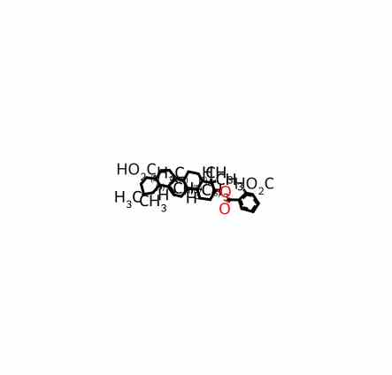 CC1(C)CC[C@]2(C(=O)O)CC[C@]3(C)C(=CC[C@@H]4[C@@]5(C)CC[C@H](OC(=O)c6ccccc6C(=O)O)C(C)(C)[C@@H]5CC[C@]43C)[C@@H]2C1